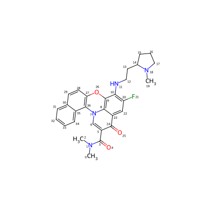 CN(C)C(=O)c1cn2c3c(c(NCCC4CCCN4C)c(F)cc3c1=O)Oc1ccc3ccccc3c1-2